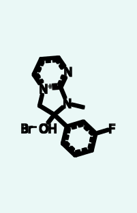 CN1c2nccc[n+]2CC1(O)c1cccc(F)c1.[Br-]